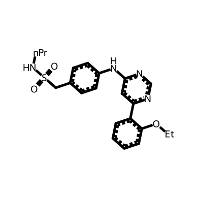 CCCNS(=O)(=O)Cc1ccc(Nc2cc(-c3ccccc3OCC)ncn2)cc1